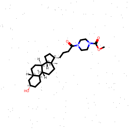 COC(=O)N1CCN(C(=O)CCC[C@H]2CC[C@H]3[C@@H]4CC[C@H]5C[C@@H](O)CC[C@]5(C)[C@H]4CC[C@]23C)CC1